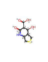 O=C(O)c1c(O)c2cscc2[nH]c1=O